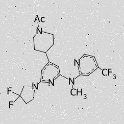 CC(=O)N1CCC(c2cc(N3CCC(F)(F)C3)nc(N(C)c3cc(C(F)(F)F)ccn3)c2)CC1